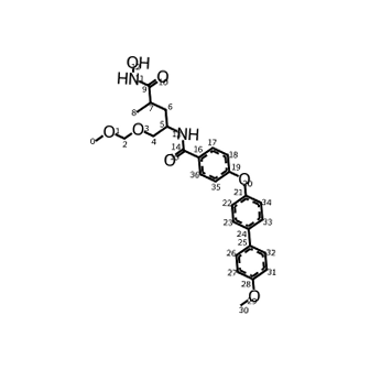 COCOCC(CC(C)C(=O)NO)NC(=O)c1ccc(Oc2ccc(-c3ccc(OC)cc3)cc2)cc1